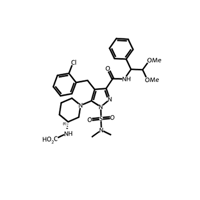 COC(OC)C(NC(=O)c1nn(S(=O)(=O)N(C)C)c(N2CCC[C@@H](NC(=O)O)C2)c1Cc1ccccc1Cl)c1ccccc1